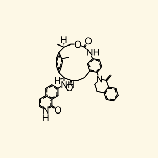 C=C1c2ccccc2CCN1c1ccc2cc1CCC(=O)[C@H](Nc1ccc3cc[nH]c(=O)c3c1)c1ccc(c(C)c1)[C@@H](C)COC(=O)N2